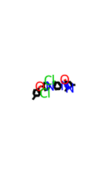 Cc1ccc(OC2CCN(c3ccc(-n4c(C)nc(C)cc4=O)cc3Cl)CC2)c(Cl)c1